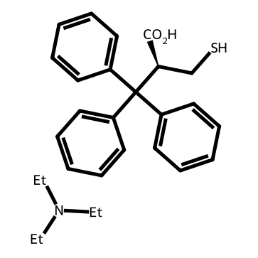 CCN(CC)CC.O=C(O)[C@@H](CS)C(c1ccccc1)(c1ccccc1)c1ccccc1